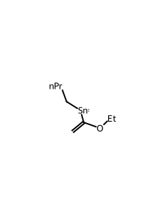 C=[C](OCC)[Sn][CH2]CCC